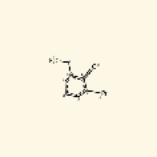 CC(C)c1cccn(CC(F)(F)F)c1=O